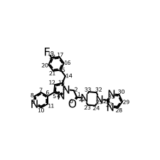 O=C(Cn1nc(-c2ccncc2)cc1Cc1ccc(F)cc1)N1CCN(c2ncccn2)CC1